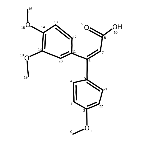 COc1ccc(C(=CC(=O)O)c2ccc(OC)c(OC)c2)cc1